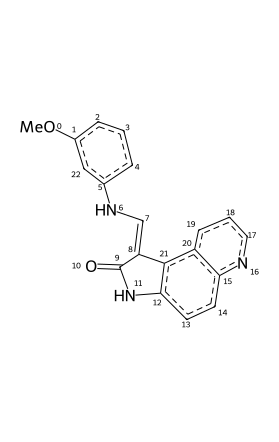 COc1cccc(N/C=C2\C(=O)Nc3ccc4ncccc4c32)c1